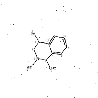 CCN1CN(CC)C(C=O)c2ccccc21